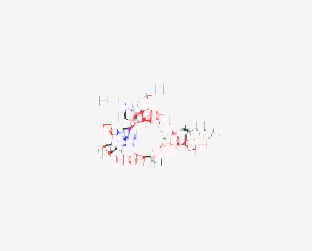 CC[C@H]1OC(=O)[C@H](C)[C@@H](O[C@H]2C[C@@](C)(OC)[C@@H](O)[C@H](C)O2)[C@H](C)[C@@H](O[C@@H]2O[C@H](C)C[C@H](N(C)C)[C@H]2OCCCNC(=O)c2ccoc2)[C@](C)(O)C[C@@H](C)CN(C)[C@H](C)[C@@H](O)[C@]1(C)O